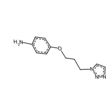 Nc1ccc(OCCCn2ccnn2)cc1